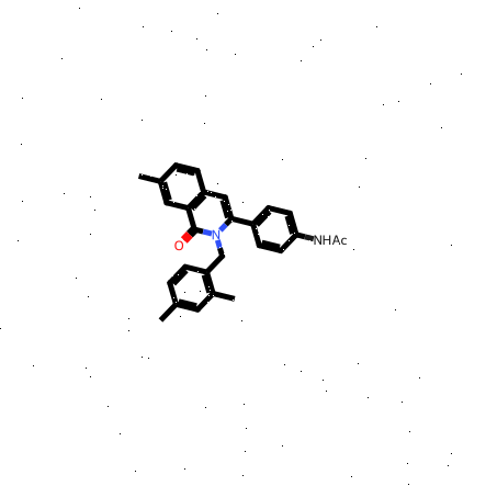 CC(=O)Nc1ccc(-c2cc3ccc(C)cc3c(=O)n2Cc2ccc(C)cc2C)cc1